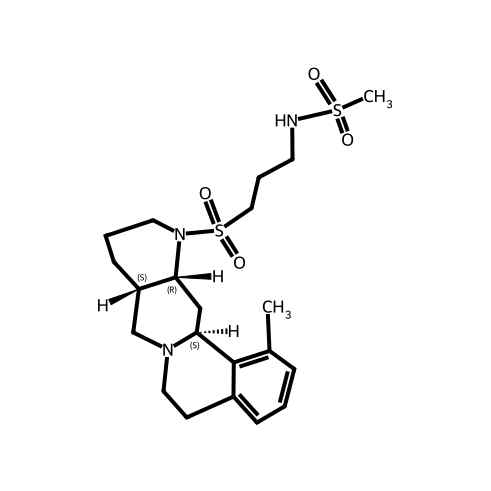 Cc1cccc2c1[C@@H]1C[C@@H]3[C@@H](CCCN3S(=O)(=O)CCCNS(C)(=O)=O)CN1CC2